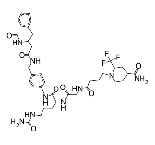 NC(=O)NCCCC(NC(=O)CNC(=O)CCCN1CCC(C(N)=O)CC1C(F)(F)F)C(=O)Nc1ccc(CNC(=O)CC(Cc2ccccc2)NC=O)cc1